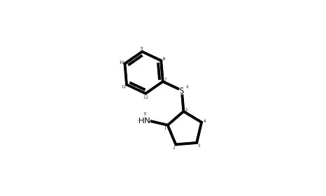 [NH]C1CCCC1Sc1ccccc1